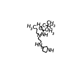 CCCN(CCN[C@H]1CCNC1)NC(=O)OC(C)(C)C